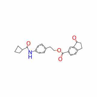 O=C(OCCc1ccc(NC(=O)C2CCC2)cc1)c1ccc2c(c1)C(=O)CC2